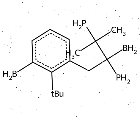 Bc1cccc(CC(B)(P)C(C)(C)P)c1C(C)(C)C